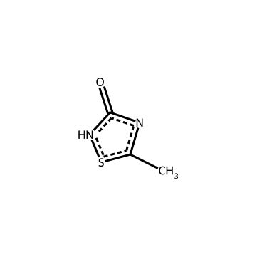 Cc1nc(=O)[nH]s1